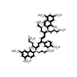 Cc1c(N(CCCS(=O)(=O)O)/C(=C/C=C(/C=C/C(CCCS(=O)(=O)O)=[N+](\CCCS(=O)(=O)O)c2ccc3c(S(=O)(=O)O)cc(S(=O)(=O)O)cc3c2C)c2ccc(C(=O)O)cn2)CCCS(=O)(=O)O)ccc2c(S(=O)(=O)O)cc(S(=O)(=O)O)cc12